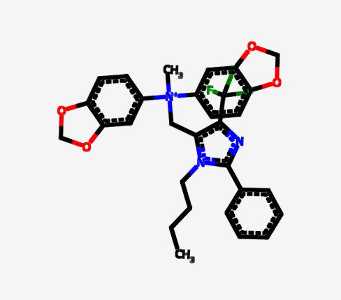 CCCCn1c(-c2ccccc2)nc(C(F)(F)F)c1C[N+](C)(c1ccc2c(c1)OCO2)c1ccc2c(c1)OCO2